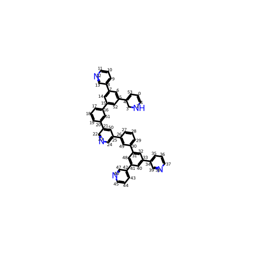 C1=CNCC(c2cc(-c3cccnc3)cc(-c3cccc(-c4cncc(-c5cccc(-c6cc(-c7cccnc7)cc(-c7cccnc7)c6)c5)c4)c3)c2)=C1